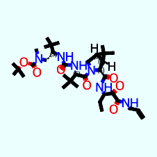 C=CCNC(=O)C(=O)C(CC)NC(=O)[C@@H]1[C@@H]2[C@H](CN1C(=O)[C@@H](NC(=O)N[C@H](CN(C)C(=O)OC(C)(C)C)C(C)(C)C)C(C)(C)C)C2(C)C